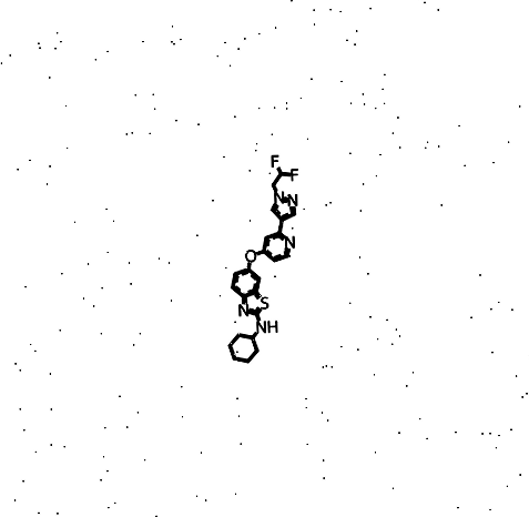 FC(F)Cn1cc(-c2cc(Oc3ccc4nc(NC5CCCCC5)sc4c3)ccn2)cn1